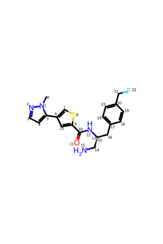 Cn1nccc1-c1csc(C(=O)N[C@H](CN)Cc2ccc(CF)cc2)c1